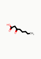 CCCCCC(=O)CC(=O)O